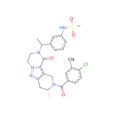 CC(c1cccc(NS(C)(=O)=O)c1)N1CCn2nc3c(c2C1=O)CN(C(=O)c1ccc(Cl)c(C#N)c1)[C@H](C)C3